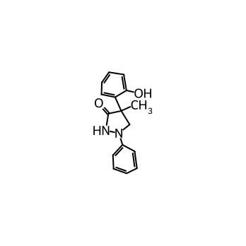 CC1(c2ccccc2O)CN(c2ccccc2)NC1=O